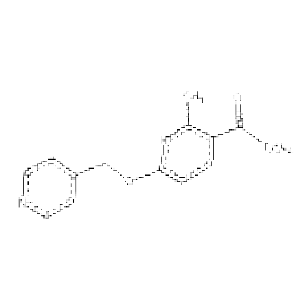 COC(=O)c1ccc(OCc2ccncc2)nc1C